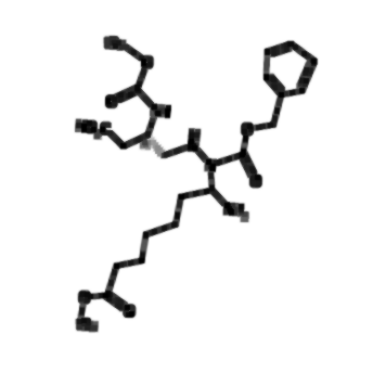 CC(C)(C)OC(=O)CCCCCC(N)N(NC[C@H](CC(=O)O)NC(=O)OC(C)(C)C)C(=O)OCc1ccccc1